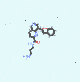 NCCCNC(=O)c1ccc2cncc(-c3cc4ccccc4o3)c2n1